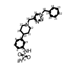 CC(C)S(=O)(=O)Nc1cccc(C2CCN(Cc3cn(Cc4ccccc4)nn3)CC2)c1